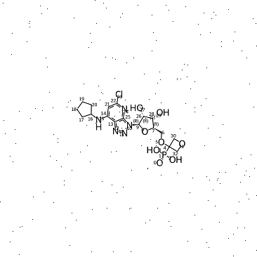 O=P(O)(O)C1(OC[C@H]2O[C@@H](n3nnc4c(NC5CCCC5)cc(Cl)nc43)[C@H](O)[C@@H]2O)COC1